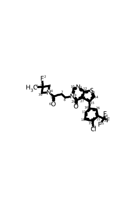 CC1(F)CN(C(=O)CCn2cnc3scc(-c4ccc(Cl)c(C(F)(F)F)c4)c3c2=O)C1